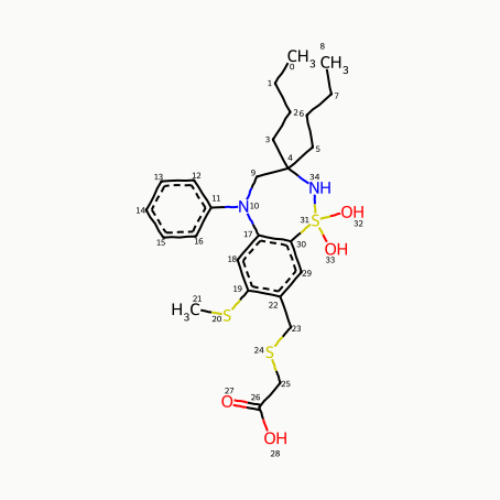 CCCCC1(CCCC)CN(c2ccccc2)c2cc(SC)c(CSCC(=O)O)cc2S(O)(O)N1